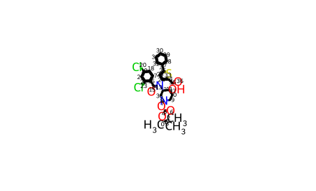 CC(C)(C)OC(=O)ON1CCCC(N(C(=O)c2ccc(Cl)cc2Cl)c2cc(-c3ccccc3)sc2C(=O)O)C1